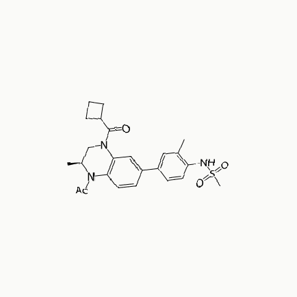 CC(=O)N1c2ccc(-c3ccc(NS(C)(=O)=O)c(C)c3)cc2N(C(=O)C2CCC2)C[C@@H]1C